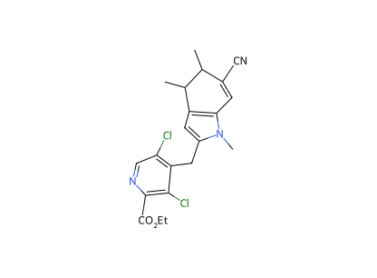 CCOC(=O)c1ncc(Cl)c(Cc2cc3c(n2C)C=C(C#N)C(C)C3C)c1Cl